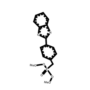 COOP(=O)(Cc1ccc(-c2nc3ccccc3o2)cc1)OOC